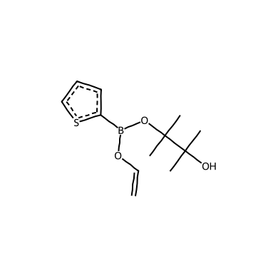 C=COB(OC(C)(C)C(C)(C)O)c1cccs1